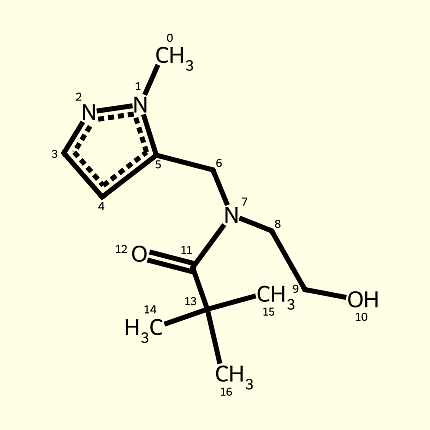 Cn1nccc1CN(CCO)C(=O)C(C)(C)C